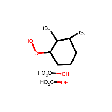 CC(C)(C)C1CCCC(OO)C1C(C)(C)C.O=C(O)O.O=C(O)O